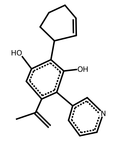 C=C(C)c1cc(O)c(C2C=CCCC2)c(O)c1-c1cccnc1